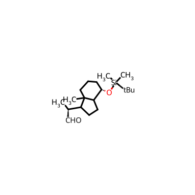 C[C@H](C=O)C1CCC2[C@@H](O[Si](C)(C)C(C)(C)C)CCCC12C